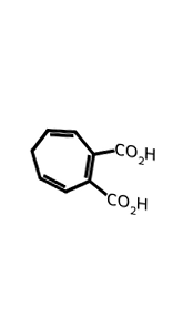 O=C(O)C1=C(C(=O)O)C=CCC=C1